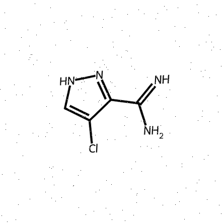 N=C(N)c1n[nH]cc1Cl